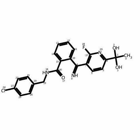 CC(O)(O)c1ccc(C(=N)c2ccccc2C(=O)NCc2ccc(Cl)cc2)c(F)n1